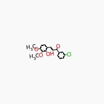 COc1ccc(C=CC(=O)c2cccc(Cl)c2)c(O)c1OC